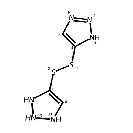 C1=C(SSc2cnn[nH]2)NNN1